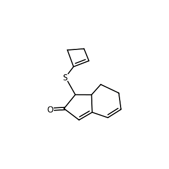 O=C1C=C2C=CCCC2C1SC1=CCC1